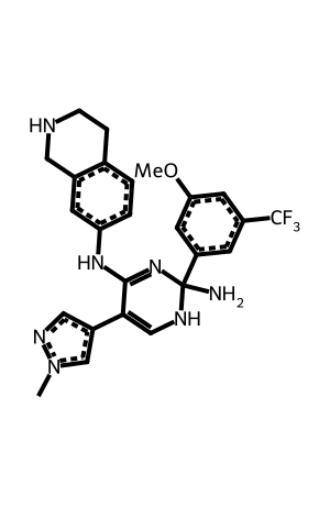 COc1cc(C(F)(F)F)cc(C2(N)N=C(Nc3ccc4c(c3)CNCC4)C(c3cnn(C)c3)=CN2)c1